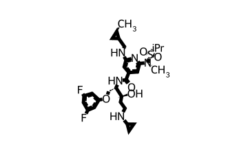 CC(C)S(=O)(=O)N(C)c1cc(C(=O)N[C@@H](COc2cc(F)cc(F)c2)[C@@H](O)CCNC2CC2)cc(NCC2C[C@@H]2C)n1